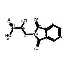 O=C1c2ccccc2C(=O)N1CC(Cl)[PH](=O)O